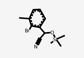 Cc1cccc(C(C#N)O[Si](C)(C)C)c1Br